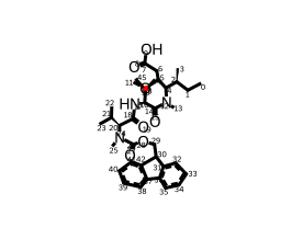 CC[C@H](C)C(C(CC(=O)O)OC)N(C)C(=O)[C@@H](NC(=O)[C@H](C(C)C)N(C)C(=O)OCC1c2ccccc2-c2ccccc21)C(C)C